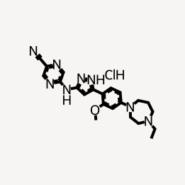 CCN1CCCN(c2ccc(-c3cc(Nc4cnc(C#N)cn4)n[nH]3)c(OC)c2)CC1.Cl